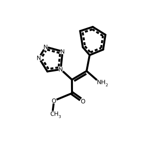 COC(=O)C(=C(N)c1ccccc1)n1cnnn1